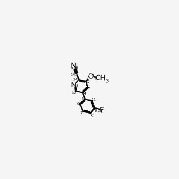 COc1cc(-c2cccc(F)c2)cnc1C#N